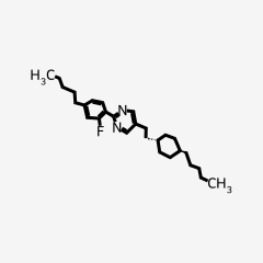 CCCCCc1ccc(-c2ncc(CC[C@H]3CC[C@H](CCCCC)CC3)cn2)c(F)c1